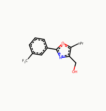 CCCc1oc(-c2cccc(C(F)(F)F)c2)nc1CO